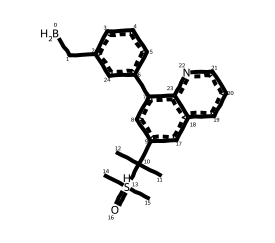 BCc1cccc(-c2cc(C(C)(C)[SH](C)(C)=O)cc3cccnc23)c1